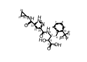 O=C(N[C@H](Cc1ccccc1C(F)(F)F)[C@@H](O)C(=O)O)c1cc(C(=O)NC2CC2)[nH]n1